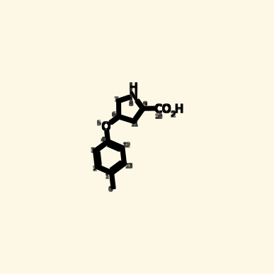 Cc1ccc(OC2CNC(C(=O)O)C2)cc1